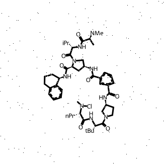 CCC[C@@H](C(=O)N[C@H](C(=O)N1CC[C@H](NC(=O)c2cccc(C(=O)N[C@H]3C[C@@H](C(=O)N[C@@H]4CCCc5ccccc54)N(C(=O)[C@@H](NC(=O)[C@H](C)NC)C(C)C)C3)c2)C1)C(C)(C)C)N(C)Cl